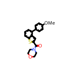 COc1ccc(-c2cccc3sc(C(=O)N4CCOCC4)cc23)cc1